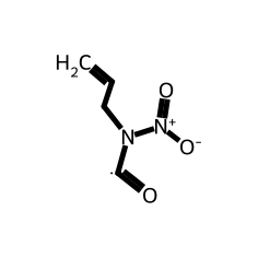 C=CCN([C]=O)[N+](=O)[O-]